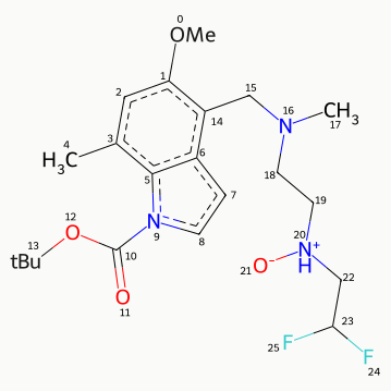 COc1cc(C)c2c(ccn2C(=O)OC(C)(C)C)c1CN(C)CC[NH+]([O-])CC(F)F